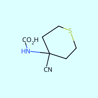 N#CC1(NC(=O)O)CCSCC1